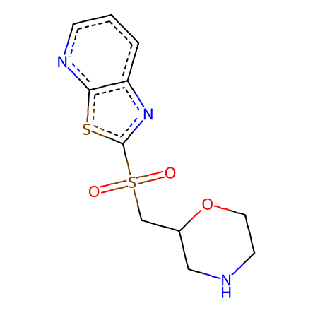 O=S(=O)(CC1CNCCO1)c1nc2cccnc2s1